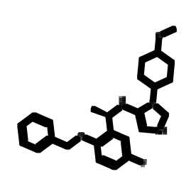 COC1CCC(N2CNC=C2N[C@H](C)c2cc(F)ccc2OCc2ccccc2)CC1